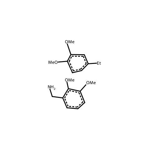 CCc1ccc(OC)c(OC)c1.COc1cccc(CN)c1OC